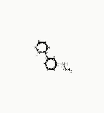 NNc1cccc(-c2cccnn2)c1